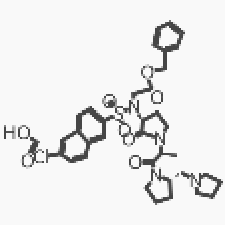 C[C@@H](C(=O)N1CCC[C@H]1CN1CCCC1)N1CC[C@H](N(CC(=O)OCc2ccccc2)S(=O)(=O)c2ccc3cc(Cl)ccc3c2)C1=O.O=CO